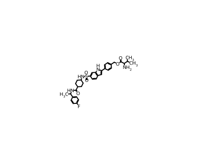 CC(NC(=O)C1CCC(NS(=O)(=O)c2ccc3cc(-c4ccc(COC(=O)C(N)C(C)C)cc4)[nH]c3c2)CC1)c1ccc(F)cc1